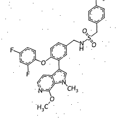 COc1nccc2c(-c3cc(CNS(=O)(=O)Cc4ccc(C)cc4)ccc3Oc3ccc(F)cc3F)cn(C)c12